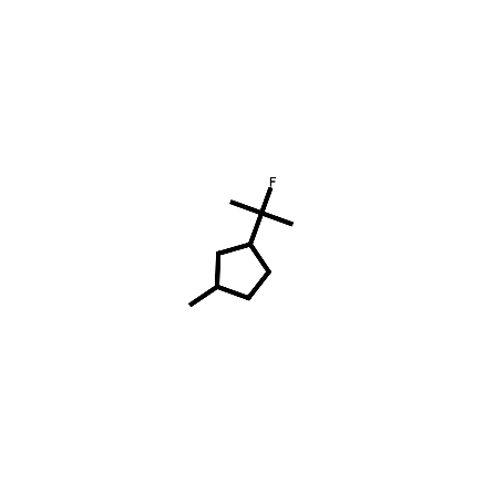 CC1CCC(C(C)(C)F)C1